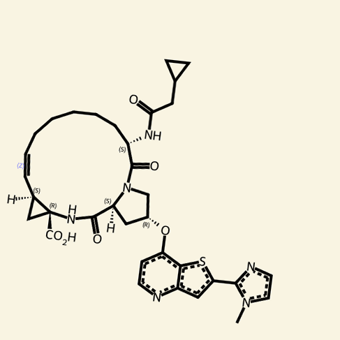 Cn1ccnc1-c1cc2nccc(O[C@@H]3C[C@H]4C(=O)N[C@]5(C(=O)O)C[C@H]5/C=C\CCCCC[C@H](NC(=O)CC5CC5)C(=O)N4C3)c2s1